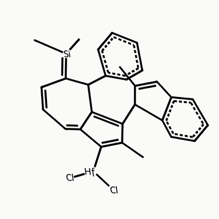 CC1=Cc2ccccc2C1C1=C2C(=CC=CC(=[Si](C)C)C2c2ccccc2)[C]([Hf]([Cl])[Cl])=C1C